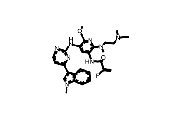 C=C(F)C(=O)Nc1cc(Nc2nccc(-c3cn(C)c4ccccc34)n2)c(OC)nc1N(C)CCN(C)C